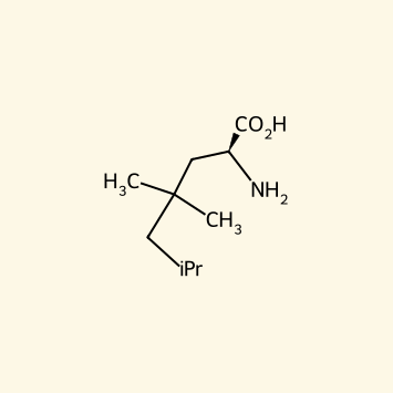 CC(C)CC(C)(C)C[C@H](N)C(=O)O